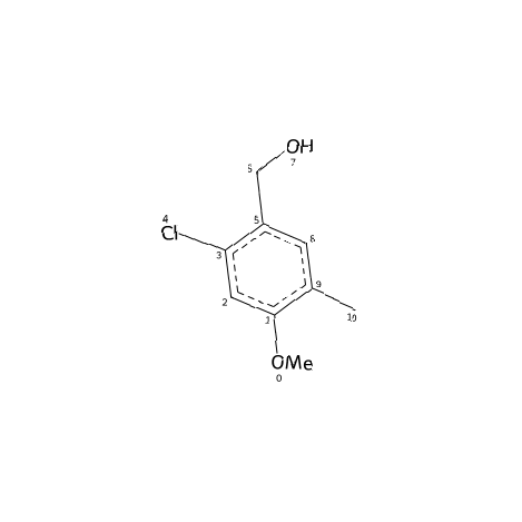 COc1cc(Cl)c(CO)cc1C